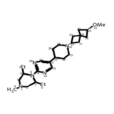 CCC1CN(C)CC(CC)N1c1ncc(C2CCN([C@H]3CC4(C[C@H](OC)C4)C3)CC2)cn1